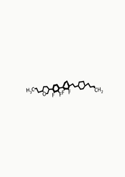 C=CCCC1CCC(CCc2ccc(-c3ccc(C4CCC(CCC)OC4)c(F)c3F)c(F)c2F)CC1